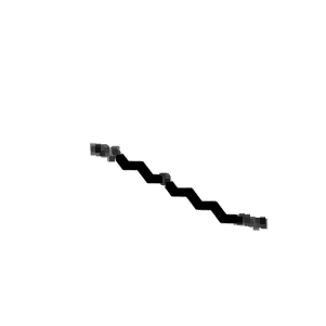 CCCCCCCCCCCCOCCCS(=O)(=O)O